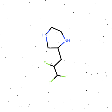 FC(F)C(F)CC1CNCCN1